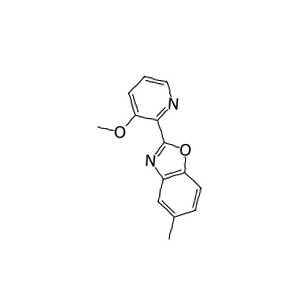 COc1cccnc1-c1nc2cc(C)ccc2o1